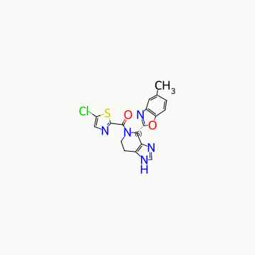 Cc1ccc2oc([C@@H]3c4nc[nH]c4CCN3C(=O)c3ncc(Cl)s3)nc2c1